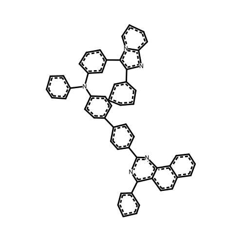 c1ccc(-c2nc3ccccn3c2-c2cccc(N(c3ccccc3)c3ccc(-c4ccc(-c5nc(-c6ccccc6)c6ccc7ccccc7c6n5)cc4)cc3)c2)cc1